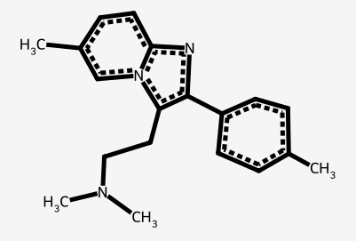 Cc1ccc(-c2nc3ccc(C)cn3c2CCN(C)C)cc1